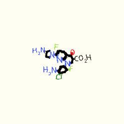 Nc1cc(-n2cc(C(=O)O)c(=O)c3cc(F)c(N4CC[C@H](N)C4)nc32)c(F)cc1Cl